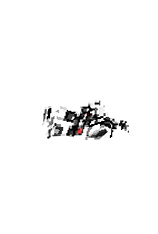 Cc1ccc([C](c2ccc(C)cc2)=[Zr]([C]2=CC(C(C)(C)C)=CC2C)[C]2=C(C(C)(C)C)c3cc4c(cc3C2(C)C)Cc2cc3c(cc2-4)C(C(C)(C)C)=CC3(C)C)cc1